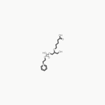 O=C(O)CCCCOC(CO)COP(=O)(O)OCC[n+]1ccccc1